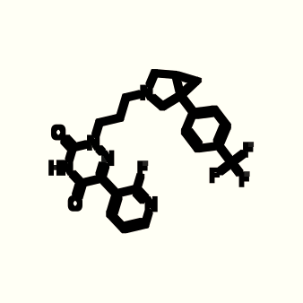 O=c1[nH]c(=O)n(CCCN2CC3CC3(c3ccc(C(F)(F)F)cc3)C2)nc1-c1cccnc1F